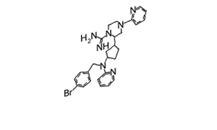 N=C(N)N1CCN(c2ccccn2)CC1C1CCC(N(Cc2ccc(Br)cc2)c2ccccn2)C1